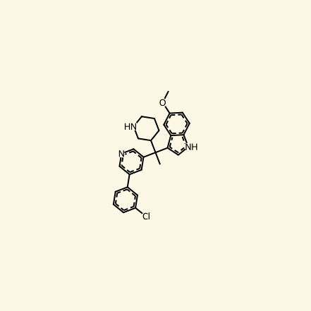 COc1ccc2[nH]cc(C(C)(c3cncc(-c4cccc(Cl)c4)c3)C3CCCNC3)c2c1